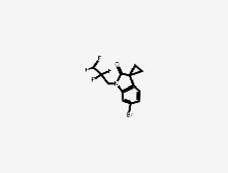 O=C1N(CC(F)(F)C(F)F)c2cc(Br)ccc2C12CC2